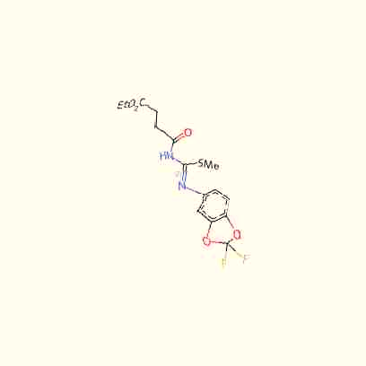 CCOC(=O)CCC(=O)N/C(=N/c1ccc2c(c1)OC(F)(F)O2)SC